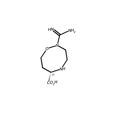 N=C(N)N1CCN[C@H](C(=O)O)CCO1